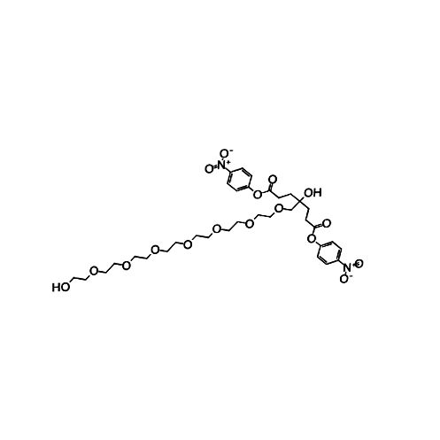 O=C(CCC(O)(CCC(=O)Oc1ccc([N+](=O)[O-])cc1)COCCOCCOCCOCCOCCOCCOCCO)Oc1ccc([N+](=O)[O-])cc1